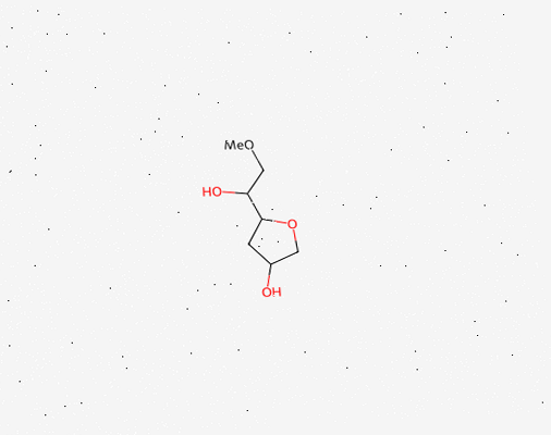 COCC(O)C1CC(O)CO1